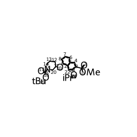 COC(=O)c1cc2cccc(OC3CCCN(C(=O)OC(C)(C)C)C3)c2cc1OC(C)C